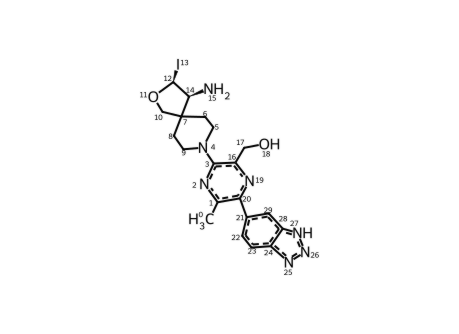 Cc1nc(N2CCC3(CC2)CO[C@@H](I)[C@H]3N)c(CO)nc1-c1ccc2nn[nH]c2c1